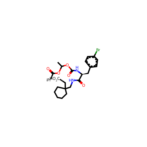 CC(OC(=O)N[C@@H](Cc1ccc(Br)cc1)C(=O)NCC1(CC(=O)O)CCCCC1)OC(=O)C(C)C